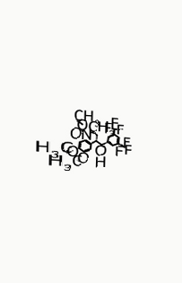 CCOC(=O)N1c2cc(OC)c(OC)cc2[C@H]([C@H](O)c2cc(C(F)(F)F)cc(C(F)(F)F)c2)C[C@@H]1C